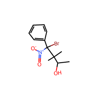 CC(O)C(C)(C)C(Br)(c1ccccc1)[N+](=O)[O-]